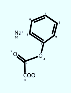 O=C([O-])C(=O)Oc1ccccc1.[Na+]